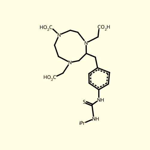 CC(C)NC(=S)Nc1ccc(CC2CN(CC(=O)O)CCN(C(=O)O)CCN2CC(=O)O)cc1